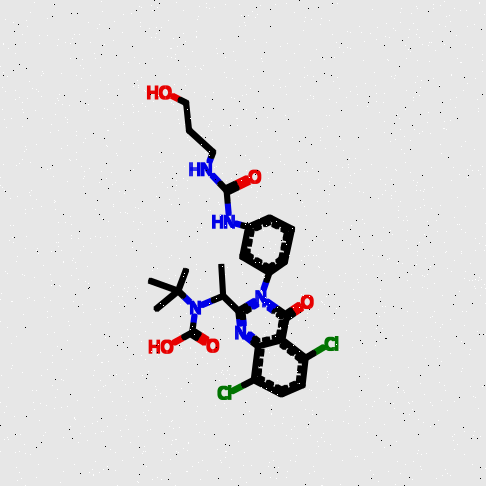 CC(c1nc2c(Cl)ccc(Cl)c2c(=O)n1-c1cccc(NC(=O)NCCCO)c1)N(C(=O)O)C(C)(C)C